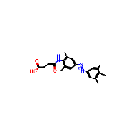 Cc1cc(/N=N/c2cc(C)c(NC(=O)CCC(=O)O)c(C)c2)cc(C)c1C